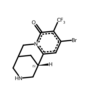 O=c1c(C(F)(F)F)c(Br)cc2n1CC1CNC[C@@H]2C1